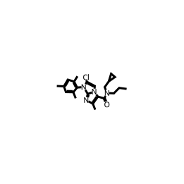 CCCN(CC1CC1)C(=O)c1c(C)nc2n(-c3c(C)cc(C)cc3C)c(Cl)cn12